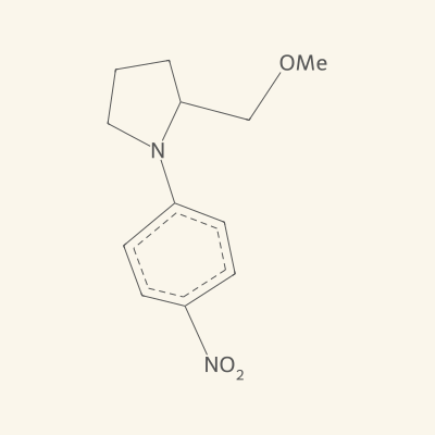 COCC1CCCN1c1ccc([N+](=O)[O-])cc1